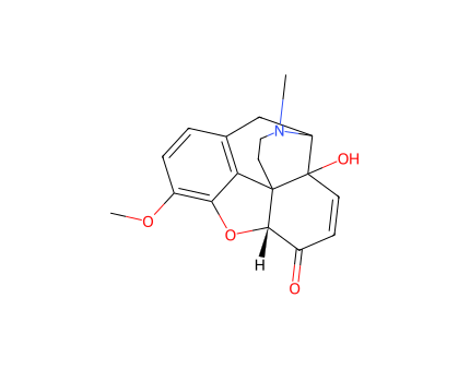 COc1ccc2c3c1O[C@H]1C(=O)C=CC4(O)C(C2)N(C)CCC314